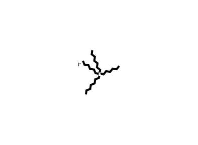 CCCCCCC[P+](CCCCCC)(CCCCCC)CCCCCCC.[I-]